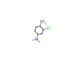 CN(C)c1ccc(C(F)(F)F)c(Cl)c1